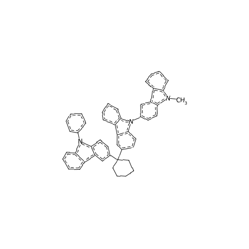 Cn1c2ccccc2c2cc(-n3c4ccccc4c4cc(C5(c6ccc7c(c6)c6ccccc6n7-c6ccccc6)CCCCC5)ccc43)ccc21